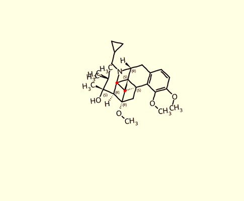 COc1ccc2c(c1OC)[C@]13CCN(CC4CC4)[C@H](C2)[C@]12CC[C@@](OC)(C3)[C@@H]([C@](C)(O)C(C)(C)C)C2